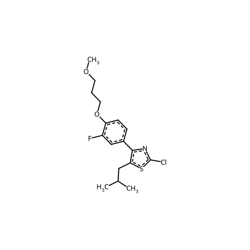 COCCCOc1ccc(-c2nc(Cl)sc2CC(C)C)cc1F